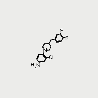 Nc1ccc(N2CCC(Cc3ccc(F)c(F)c3)CC2)c(Cl)c1